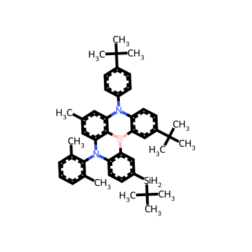 Cc1cc2c3c(c1)N(c1c(C)cccc1C)c1ccc([SiH2]C(C)(C)C)cc1B3c1cc(C(C)(C)C)ccc1N2c1ccc(C(C)(C)C)cc1